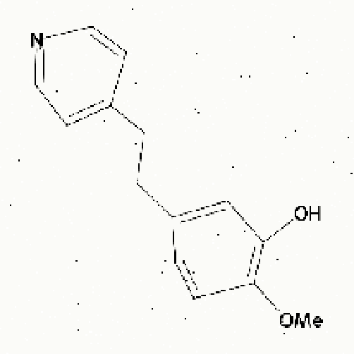 COc1ccc(CCc2ccncc2)cc1O